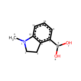 CN1CCc2c(B(O)O)cccc21